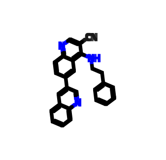 N#Cc1cnc2ccc(-c3cnc4ccccc4c3)cc2c1NCCc1ccccc1